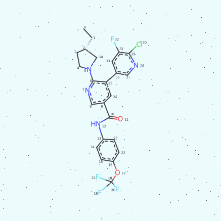 CC[C@H]1CCN(c2ncc(C(=O)Nc3ccc(OC(F)(F)F)cc3)cc2-c2cnc(Cl)c(F)c2)C1